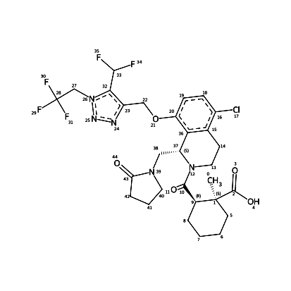 C[C@]1(C(=O)O)CCCC[C@H]1C(=O)N1CCc2c(Cl)ccc(OCc3nnn(CC(F)(F)F)c3C(F)F)c2[C@H]1CN1CCCC1=O